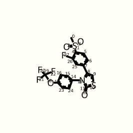 CS(=O)(=O)c1ccc(-c2csc(=O)n2-c2ccc(OC(F)(F)F)cc2)cc1F